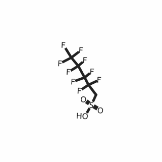 O=S(=O)(O)CC(F)(F)C(F)(F)C(F)(F)C(F)(F)F